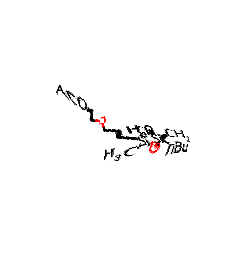 CCCC[Si](C)(C)O[Si](C)(C)CCCOCCOC(C)=O